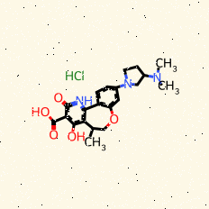 CC1COc2cc(N3CCC(N(C)C)C3)ccc2-c2[nH]c(=O)c(C(=O)O)c(O)c21.Cl